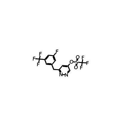 O=S(=O)(Oc1cnnc(Cc2cc(F)cc(C(F)(F)F)c2)c1)C(F)(F)F